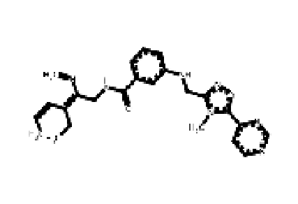 C=N/C(CNC(=O)c1cccc(NCc2nnc(-c3ccncn3)n2C)c1)=C(\C=C/C)CC